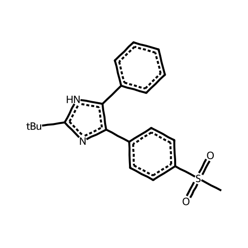 CC(C)(C)c1nc(-c2ccc(S(C)(=O)=O)cc2)c(-c2ccccc2)[nH]1